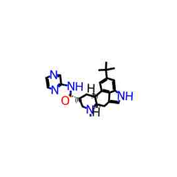 CN1C[C@H](C(=O)Nc2cnccn2)C[C@@H]2c3cc(C(C)(C)C)cc4[nH]cc(c34)C[C@H]21